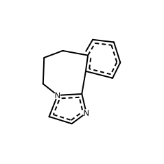 c1ccc2c(c1)CCCn1ccnc1-2